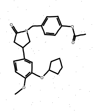 COc1ccc(C2CC(=O)N(Cc3ccc(OC(C)=O)cc3)C2)cc1OC1CCCC1